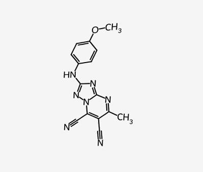 COc1ccc(Nc2nc3nc(C)c(C#N)c(C#N)n3n2)cc1